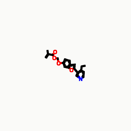 C=C(C)C(=O)OCOc1ccc2cc(-c3cnccc3CC)oc2c1